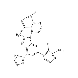 Cc1nc2c(-c3nnc[nH]3)cc(-c3ccnc(N)c3F)cc2n1-c1ccnc2c(F)ccc(F)c12